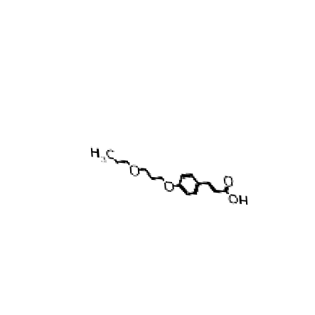 CCCOCCCOc1ccc(/C=C/C(=O)O)cc1